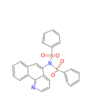 O=S(=O)(c1ccccc1)N(c1cc2ccccc2c2ncccc12)S(=O)(=O)c1ccccc1